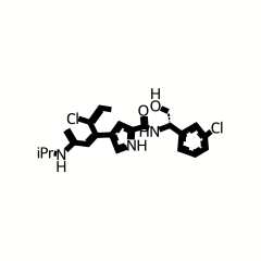 C=C(/C=C(\C(Cl)=C/C)c1c[nH]c(C(=O)N[C@H](CO)c2cccc(Cl)c2)c1)NC(C)C